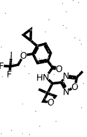 Cc1nc(C(NC(=O)c2ccc(C3CC3)c(OCC(F)(F)I)c2)C2(C)COC2)no1